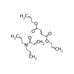 C=CCN(CC=C)C(=O)C=C.C=CCOC(=O)C=CC(=O)OCC=C